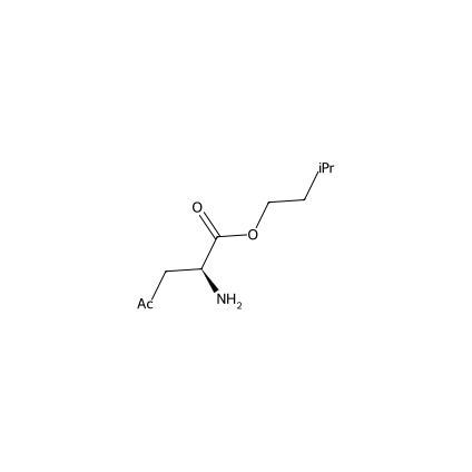 CC(=O)C[C@H](N)C(=O)OCCC(C)C